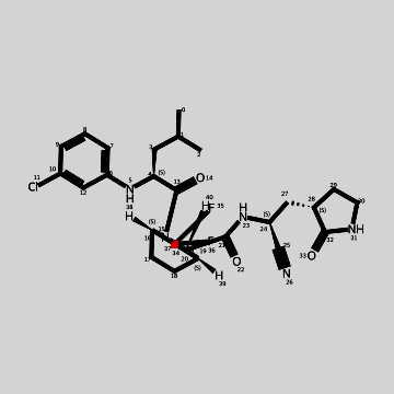 CC(C)C[C@H](Nc1cccc(Cl)c1)C(=O)N1[C@H]2CC[C@@H]([C@H]1C(=O)N[C@H](C#N)C[C@@H]1CCNC1=O)C(F)(F)C2